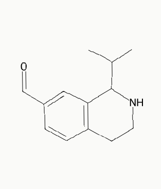 CC(C)C1NCCc2ccc(C=O)cc21